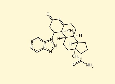 C[C@]12CC[C@H]3[C@@H](CCC4=CC(=O)CC(n5nnc6ccccc65)[C@@]43C)[C@@H]1CC[C@@H]2C(N)=O